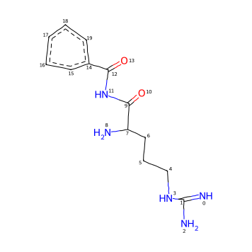 N=C(N)NCCCC(N)C(=O)NC(=O)c1ccccc1